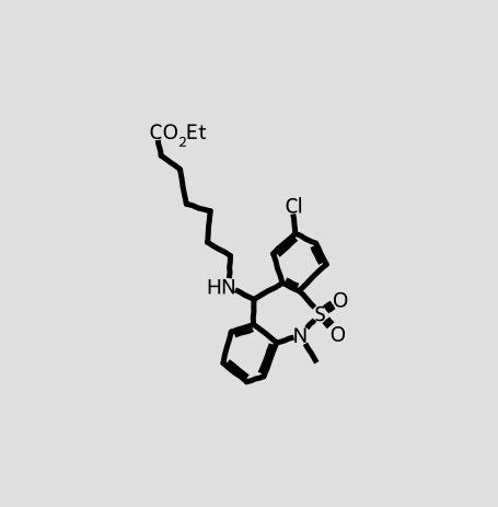 CCOC(=O)CCCCCCNC1c2ccccc2N(C)S(=O)(=O)c2ccc(Cl)cc21